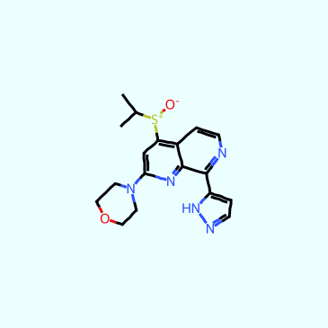 CC(C)[S+]([O-])c1cc(N2CCOCC2)nc2c(-c3ccn[nH]3)nccc12